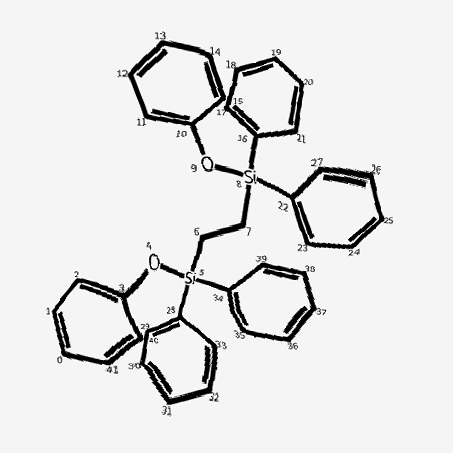 c1ccc(O[Si](CC[Si](Oc2ccccc2)(c2ccccc2)c2ccccc2)(c2ccccc2)c2ccccc2)cc1